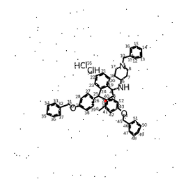 CCCCC(NC1CCN(Cc2ccccc2)CC1)c1ccccc1C(c1ccc(OCc2ccccc2)cc1)c1ccc(OCc2ccccc2)cc1.Cl.Cl